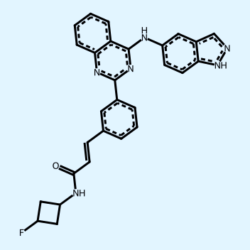 O=C(/C=C/c1cccc(-c2nc(Nc3ccc4[nH]ncc4c3)c3ccccc3n2)c1)NC1CC(F)C1